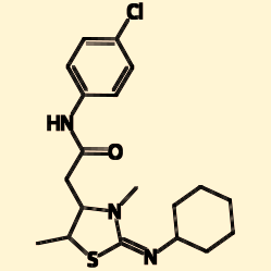 CC1SC(=NC2CCCCC2)N(C)C1CC(=O)Nc1ccc(Cl)cc1